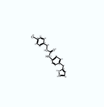 O=C(Nc1ccc(Cc2ccns2)cc1)OCc1ccc(Cl)cc1